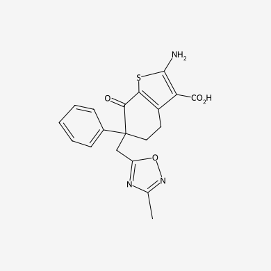 Cc1noc(CC2(c3ccccc3)CCc3c(sc(N)c3C(=O)O)C2=O)n1